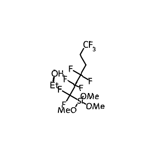 CCO.CO[Si](OC)(OC)C(F)(F)C(F)(F)C(F)(F)CCC(F)(F)F